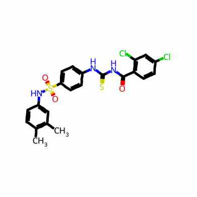 Cc1ccc(NS(=O)(=O)c2ccc(NC(=S)NC(=O)c3ccc(Cl)cc3Cl)cc2)cc1C